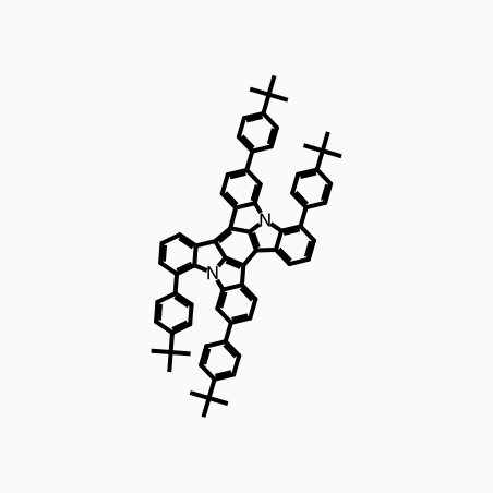 CC(C)(C)c1ccc(-c2ccc3c4c5c6cccc(-c7ccc(C(C)(C)C)cc7)c6n6c7cc(-c8ccc(C(C)(C)C)cc8)ccc7c(c7c8cccc(-c9ccc(C(C)(C)C)cc9)c8n(c3c2)c47)c56)cc1